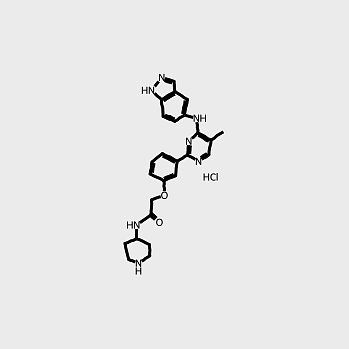 Cc1cnc(-c2cccc(OCC(=O)NC3CCNCC3)c2)nc1Nc1ccc2[nH]ncc2c1.Cl